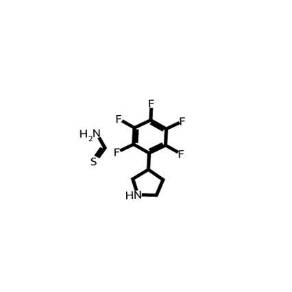 Fc1c(F)c(F)c(C2CCNC2)c(F)c1F.NC=S